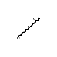 C=CC(=O)OCCOCCC=CC=CCC